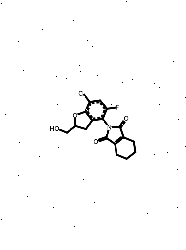 O=C1C2=C(CCCC2)C(=O)N1c1c(F)cc(Cl)c2c1CC(CO)O2